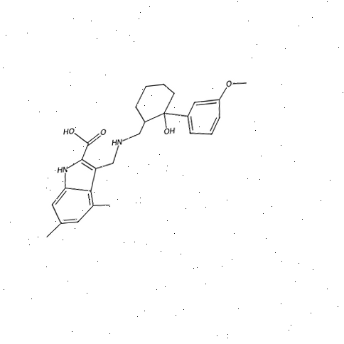 COc1cccc(C2(O)CCCCC2CNCc2c(C(=O)O)[nH]c3cc(C)cc(C)c23)c1